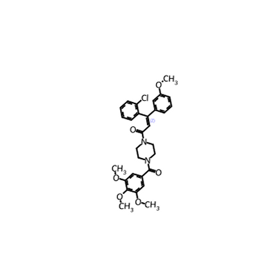 COc1cccc(/C(=C/C(=O)N2CCN(C(=O)c3cc(OC)c(OC)c(OC)c3)CC2)c2ccccc2Cl)c1